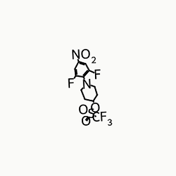 O=[N+]([O-])c1cc(F)c(N2CCC(OS(=O)(=O)C(F)(F)F)CC2)c(F)c1